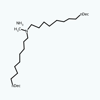 CCCCCCCCCCCCCCCCCCN(C)CCCCCCCCCCCCCCCCCC.N